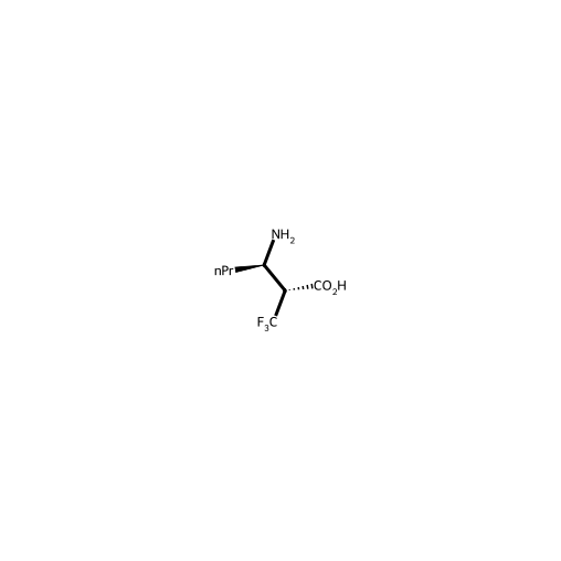 CCC[C@@H](N)[C@H](C(=O)O)C(F)(F)F